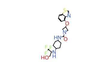 O=C(NC1CCC(NC(CO)C(F)(F)F)CC1)N1CC(Oc2cccc3scnc23)C1